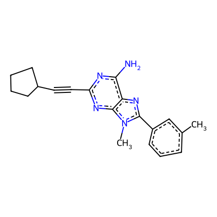 Cc1cccc(-c2nc3c(N)nc(C#CC4CCCC4)nc3n2C)c1